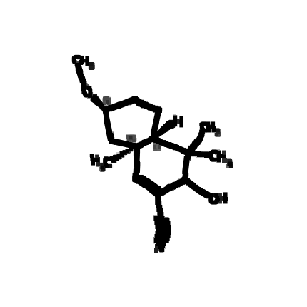 CO[C@H]1CC[C@@H]2C(C)(C)C(O)C(C#N)=C[C@@]2(C)C1